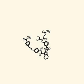 CCC(CC)N(Cc1cccc(C(=O)Nc2sc3c(c2C(=O)Nc2ccc(CCCc4ccc(C(=O)O)cc4)cc2)CCCC3)c1)C(=O)CCC(=O)O